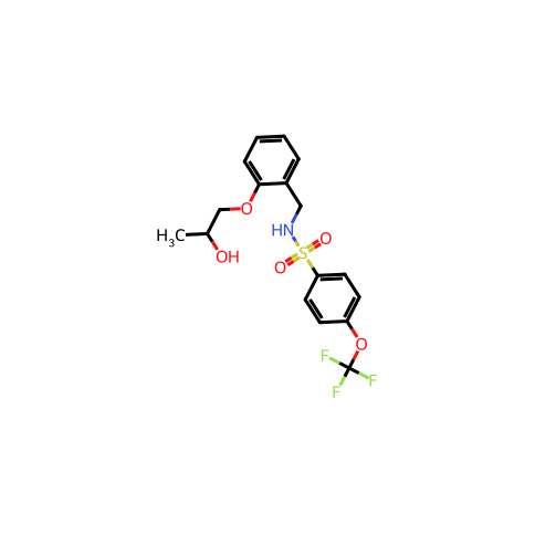 CC(O)COc1ccccc1CNS(=O)(=O)c1ccc(OC(F)(F)F)cc1